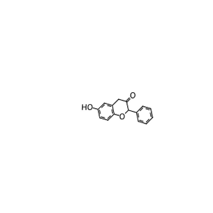 O=C1Cc2cc(O)ccc2OC1c1ccccc1